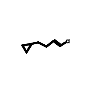 ClC=CC[CH]C1CC1